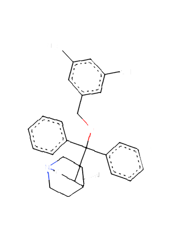 Cc1cc(C)cc(COC(c2ccccc2)(c2ccccc2)[C@@H]2CN3CCC2CC3)c1.Cl